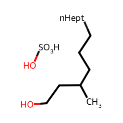 CCCCCCCCCCC(C)CCO.O=S(=O)(O)O